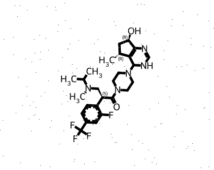 CC(C)N(C)C[C@@H](C(=O)N1CCN(C2NC=NC3=C2[C@H](C)C[C@H]3O)CC1)c1ccc(C(F)(F)F)cc1F